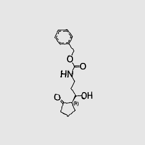 O=C(NCCC(O)[C@H]1CCCC1=O)OCc1ccccc1